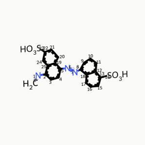 C=Nc1ccc(/N=N/c2cccc3c(S(=O)(=O)O)cccc23)c2ccc(S(=O)(=O)O)cc12